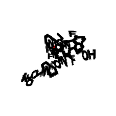 C#Cc1c(F)ccc2cc(O)cc(-c3nc(OCC)c4c(N5CC6CCC(C5)N6C(=O)C(F)(F)F)nc(OC[C@]56CCCN5[C@@H](COC(=O)N(C)C)CC6)nc4c3F)c12